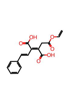 C=COC(=O)CC(C(=O)O)=C(C=Cc1ccccc1)C(=O)O